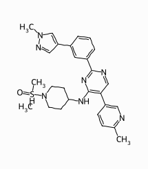 Cc1ccc(-c2cnc(-c3cccc(-c4cnn(C)c4)c3)nc2NC2CCN([SH](C)(C)=O)CC2)cn1